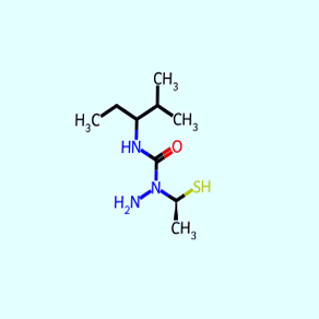 CCC(NC(=O)N(N)[C@H](C)S)C(C)C